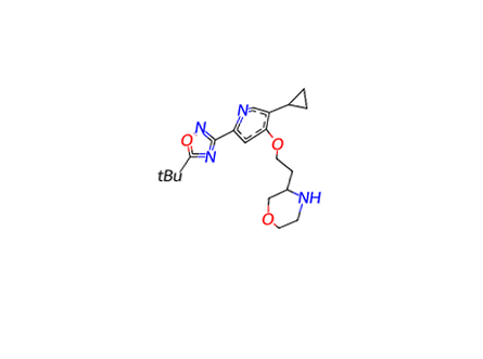 CC(C)(C)c1nc(-c2cc(OCCC3COCCN3)c(C3CC3)cn2)no1